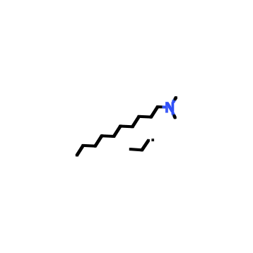 CCCCCCCCCCN(C)C.[CH2]CC